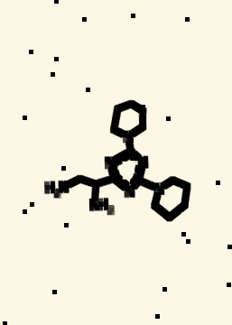 NCC(N)c1nc(N2CCCCC2)nc(N2CCCCC2)n1